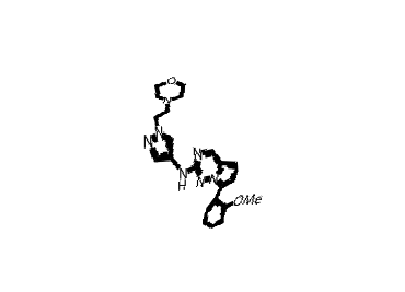 COc1ccccc1-c1ccc2cnc(Nc3cnn(CCN4CCOCC4)c3)nn12